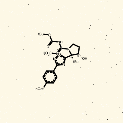 CCCCCCCCc1ccc(-c2noc([C@]3(C(C)(C)C)[C@@H](O)CCN3C(=NC(=O)O)NC(=O)OC(C)(C)C)n2)cc1